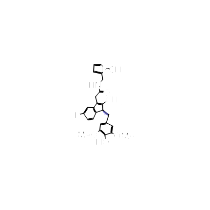 COc1cc(/C=C2/C(C)=C(CC(=O)NCc3cccn3C)c3cc(F)ccc32)cc(OC)c1O